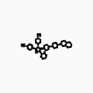 N#Cc1ccc(-c2nc3c4ccccc4c4cc(-c5ccc(-c6ccc7ccccc7c6)cc5)ccc4n3c2-c2ccc(C#N)cc2)cc1